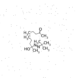 CCCC(C)(O)N=NC(C)(C)C.CCCC(C)=O